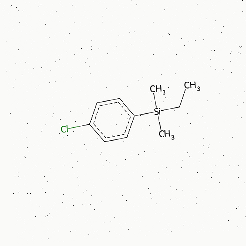 CC[Si](C)(C)c1ccc(Cl)cc1